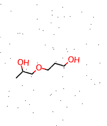 CC(O)COCC[CH]O